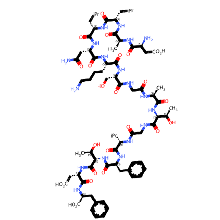 CC(C)C[C@H](NC(=O)[C@H](C)NC(=O)[C@@H](N)CC(=O)O)C(=O)N[C@@H](CC(C)C)C(=O)N[C@@H](CC(N)=O)C(=O)N[C@@H](CCCCN)C(=O)N[C@@H](CO)C(=O)NCC(=O)N[C@@H](C)C(=O)N[C@H](C(=O)NCC(=O)N[C@H](C(=O)N[C@@H](Cc1ccccc1)C(=O)N[C@H](C(=O)N[C@@H](CC(=O)O)C(=O)N[C@@H](Cc1ccccc1)C(=O)O)[C@@H](C)O)C(C)C)[C@@H](C)O